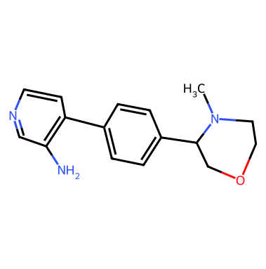 CN1CCOCC1c1ccc(-c2ccncc2N)cc1